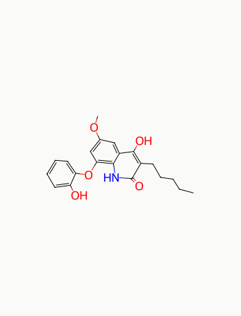 CCCCCc1c(O)c2cc(OC)cc(Oc3ccccc3O)c2[nH]c1=O